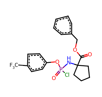 O=C(OCc1ccccc1)C1(NP(=O)(Cl)Oc2ccc(C(F)(F)F)cc2)CCCC1